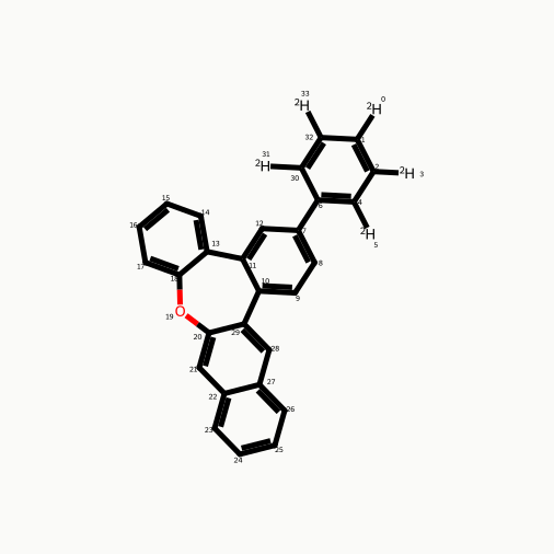 [2H]c1c([2H])c([2H])c(-c2ccc3c(c2)-c2ccccc2Oc2cc4ccccc4cc2-3)c([2H])c1[2H]